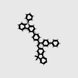 CC1(C)c2ccccc2-c2ccc(/C=C(\c3ccc(-c4ccccc4)cc3)c3ccc(-c4ccc5c(c4)c4ccccc4n5-c4ccccc4)cc3)cc21